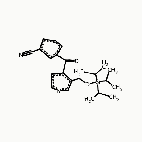 CC(C)[Si](OCc1cnccc1C(=O)c1cccc(C#N)c1)(C(C)C)C(C)C